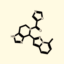 Cc1cccc2cc(C3c4nc[nH]c4CCN3C(=O)c3cnco3)nn12